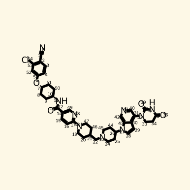 N#Cc1ccc(O[C@H]2CC[C@H](NC(=O)c3ccc(N4CCC(CN5CCC(n6ccc7c(N8CCC(=O)NC8=O)cncc76)CC5)CC4)nc3)CC2)cc1Cl